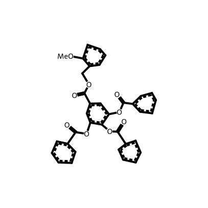 COc1ccccc1COC(=O)c1cc(OC(=O)c2ccccc2)c(OC(=O)c2ccccc2)c(OC(=O)c2ccccc2)c1